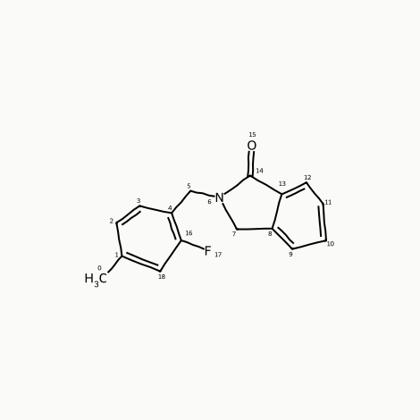 Cc1ccc(CN2Cc3ccccc3C2=O)c(F)c1